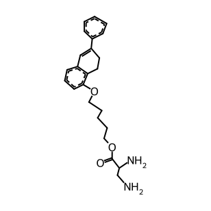 NCC(N)C(=O)OCCCCCOc1cccc2c1CCC(c1ccccc1)=C2